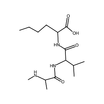 CCCCC(NC(=O)C(NC(=O)C(C)NC)C(C)C)C(=O)O